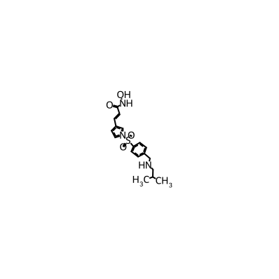 CC(C)CNCc1ccc(S(=O)(=O)n2ccc(C=CC(=O)NO)c2)cc1